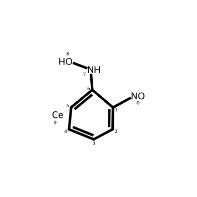 O=Nc1ccccc1NO.[Ce]